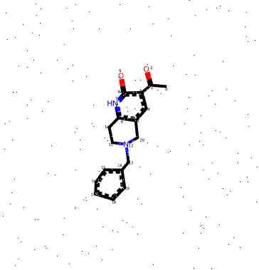 CC(=O)c1cc2c([nH]c1=O)CCN(Cc1ccccc1)C2